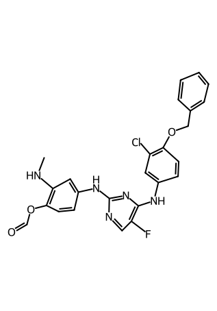 CNc1cc(Nc2ncc(F)c(Nc3ccc(OCc4ccccc4)c(Cl)c3)n2)ccc1OC=O